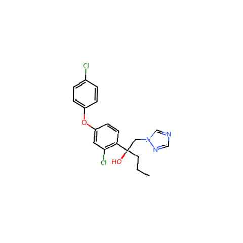 CCC[C@@](O)(Cn1cncn1)c1ccc(Oc2ccc(Cl)cc2)cc1Cl